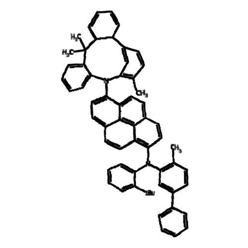 Cc1ccc(-c2ccccc2)cc1N(c1ccccc1C(C)(C)C)c1ccc2ccc3c(N4c5cc(ccc5C)C5C=CC=CC5C(C)(C)c5ccccc54)ccc4ccc1c2c43